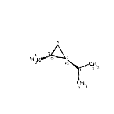 CC(C)[C@@H]1C[C@@H]1N